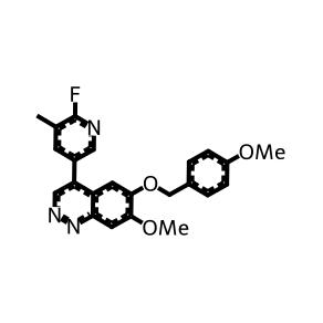 COc1ccc(COc2cc3c(-c4cnc(F)c(C)c4)cnnc3cc2OC)cc1